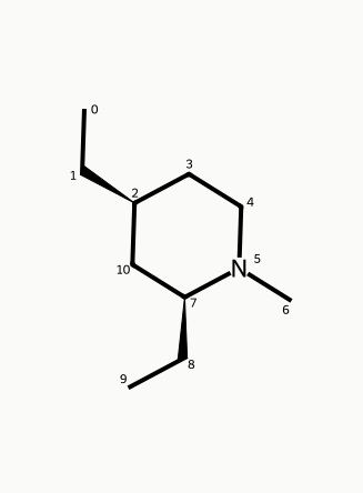 CC[C@H]1CCN(C)[C@@H](CC)C1